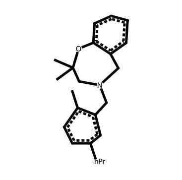 CCCc1ccc(C)c(CN2Cc3ccccc3OC(C)(C)C2)c1